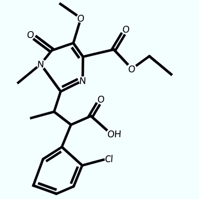 CCOC(=O)c1nc(C(C)C(C(=O)O)c2ccccc2Cl)n(C)c(=O)c1OC